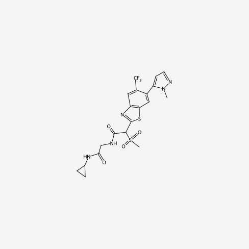 Cn1nccc1-c1cc2sc(C(C(=O)NCC(=O)NC3CC3)S(C)(=O)=O)nc2cc1C(F)(F)F